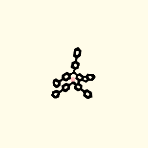 c1ccc(-c2ccc(-c3[b-]4c5c(cc6c(c5c5cc(-c7ccccc7)ccc35)Cc3ccccc3-6)C(c3ccc(-c5ccccc5)cc3)c3ccc(-c5ccccc5)cc3-4)cc2)cc1